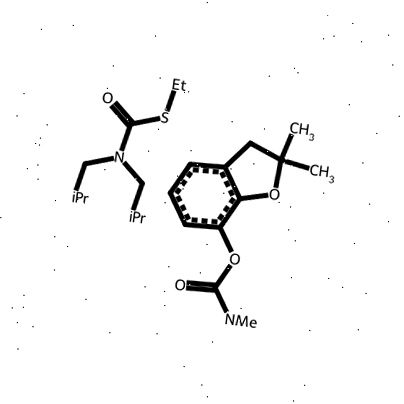 CCSC(=O)N(CC(C)C)CC(C)C.CNC(=O)Oc1cccc2c1OC(C)(C)C2